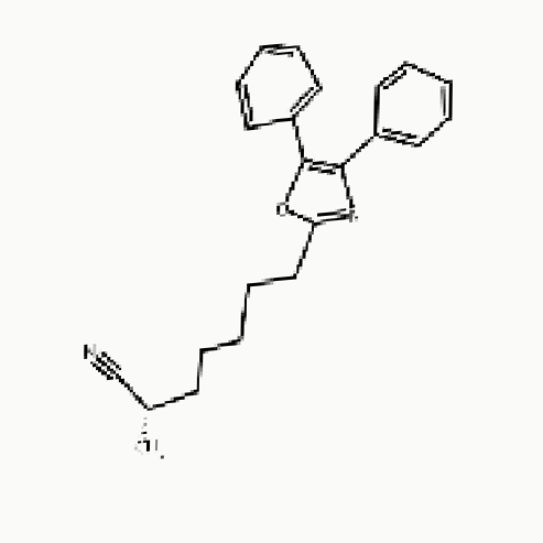 C[C@H](C#N)CCCCCc1nc(-c2ccccc2)c(-c2ccccc2)o1